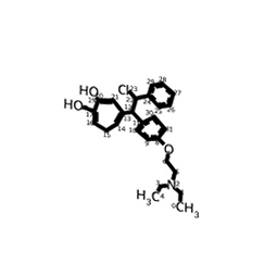 CCN(CC)CCOc1ccc(C(C2=CCC=C(O)C(O)=C2)C(Cl)c2ccccc2)cc1